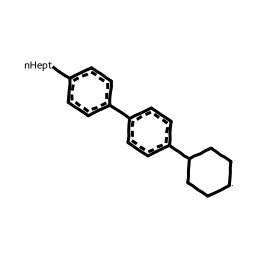 CCCCCCCc1ccc(-c2ccc(C3CC[CH]CC3)cc2)cc1